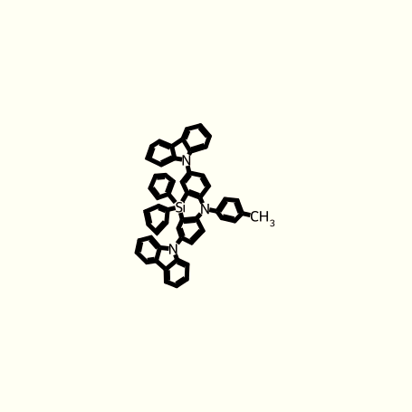 Cc1ccc(N2c3ccc(-n4c5ccccc5c5ccccc54)cc3[Si](c3ccccc3)(c3ccccc3)c3cc(-n4c5ccccc5c5ccccc54)ccc32)cc1